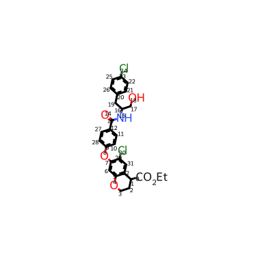 CCOC(=O)C1CCOc2cc(Oc3ccc(C(=O)NC(CO)Cc4ccc(Cl)cc4)cc3)c(Cl)cc21